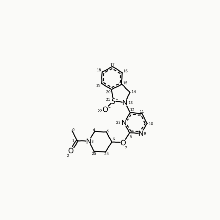 CC(=O)N1CCC(Oc2nccc(N3Cc4ccccc4[S+]3[O-])n2)CC1